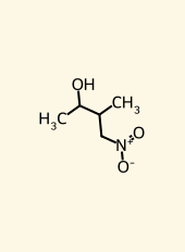 CC(O)C(C)C[N+](=O)[O-]